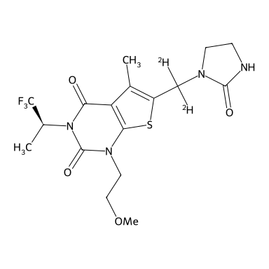 [2H]C([2H])(c1sc2c(c1C)c(=O)n([C@@H](C)C(F)(F)F)c(=O)n2CCOC)N1CCNC1=O